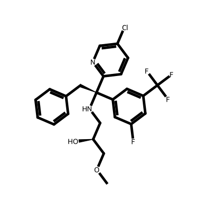 COC[C@@H](O)CN[C@@](Cc1ccccc1)(c1cc(F)cc(C(F)(F)F)c1)c1ccc(Cl)cn1